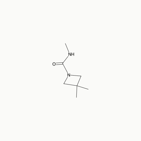 CNC(=O)N1CC(C)(C)C1